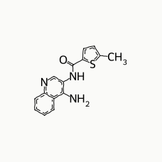 Cc1ccc(C(=O)Nc2cnc3ccccc3c2N)s1